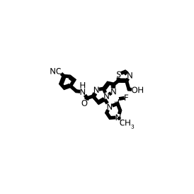 CN1CCN(c2cc(C(=O)NCc3ccc(C#N)cc3)nc3cc(-c4scnc4CO)nn23)[C@H](CF)C1